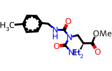 CC[C@@H](CN(C(N)=O)C(=O)NCc1ccc(C)cc1)C(=O)OC